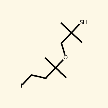 CC(C)(S)COC(C)(C)CCI